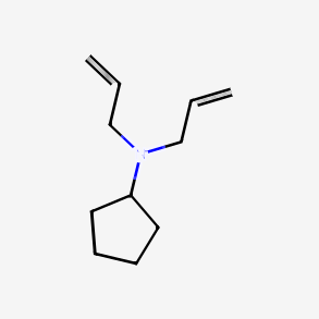 C=CCN(CC=C)C1CCCC1